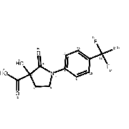 O=C(O)C1(O)CCN(c2ccc(C(F)(F)F)cc2)C1=O